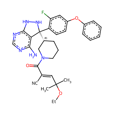 CCOC(C)(C)C=C(C#N)C(=O)N1CCC[C@@H](C2(c3ccc(Oc4ccccc4)cc3F)NNc3ncnc(N)c32)C1